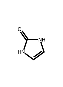 O=c1[nH]cc[nH]1